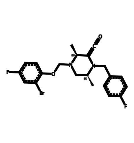 C[C@@H]1CN(COc2ccc(F)cc2Br)[C@@H](C)C(=C=O)N1Cc1ccc(F)cc1